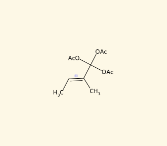 C/C=C(\C)C(OC(C)=O)(OC(C)=O)OC(C)=O